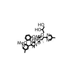 COc1cccc(OC)c1-n1c(NS(=O)(=O)[C@@H](C)[C@H](OCC(O)CO)c2ncc(C)cn2)nnc1-c1cncc(C)c1